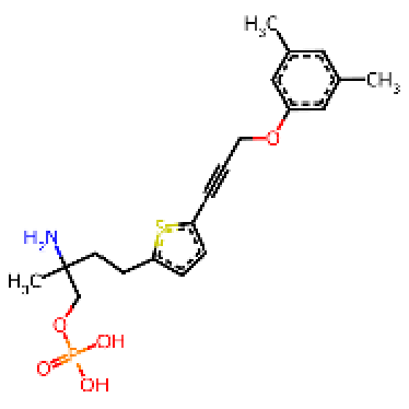 Cc1cc(C)cc(OCC#Cc2ccc(CCC(C)(N)COP(=O)(O)O)s2)c1